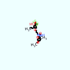 CCCc1cc(C(O)(C(F)(F)F)C(F)(F)F)ccc1OCCCCN1C(=O)NC(C)(c2ccc(OCC)cc2)C1=O